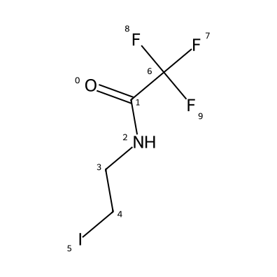 O=C(NCCI)C(F)(F)F